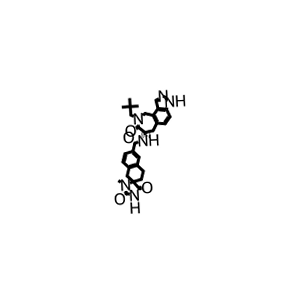 CN1C(=O)NC(=O)C12CCc1cc(C(=O)N[C@@H]3Cc4ccc5[nH]ncc5c4CN(CC(C)(C)C)C3=O)ccc1C2